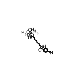 CC(C)(C)C(=O)ONCCCCCCNC(=O)c1ccc(C#N)cc1